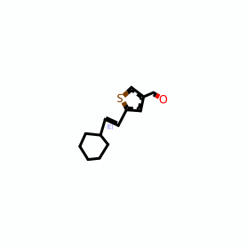 O=Cc1csc(/C=C/C2CCCCC2)c1